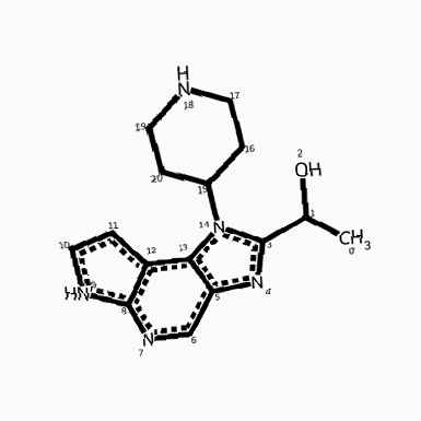 CC(O)c1nc2cnc3[nH]ccc3c2n1C1CCNCC1